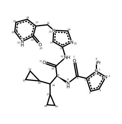 CC(C)n1nccc1C(=O)N[C@H](C(=O)Nc1cn(Cc2ccc[nH]c2=O)cn1)C(C1CC1)C1CC1